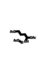 CC(=O)OCCCC(O)OC(C)=O.CC(=O)[O][Zr]